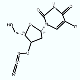 [N-]=[N+]=NOC1C[C@@H](n2cc(Cl)c(=O)[nH]c2=O)O[C@H]1CO